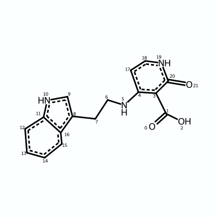 O=C(O)c1c(NCCc2c[nH]c3ccccc23)cc[nH]c1=O